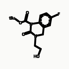 CC(C)(C)OC(=O)N1C(=O)N(CCO)Cc2cc(F)ccc21